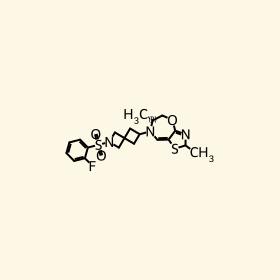 CC1N=C2OC[C@@H](C)N(C3CC4(C3)CN(S(=O)(=O)c3ccccc3F)C4)C=C2S1